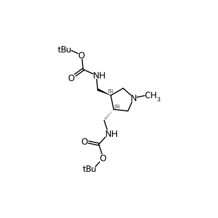 CN1C[C@H](CNC(=O)OC(C)(C)C)[C@@H](CNC(=O)OC(C)(C)C)C1